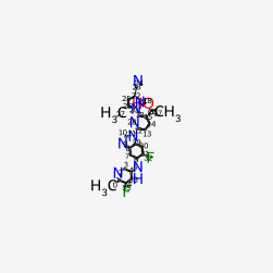 Cc1ncc(Nc2cc3ncn(-c4ccc([C@H](C)O)c(-n5nc(C#N)cc5C)n4)c3cc2F)cc1F